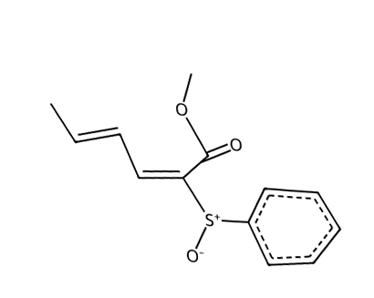 CC=CC=C(C(=O)OC)[S+]([O-])c1ccccc1